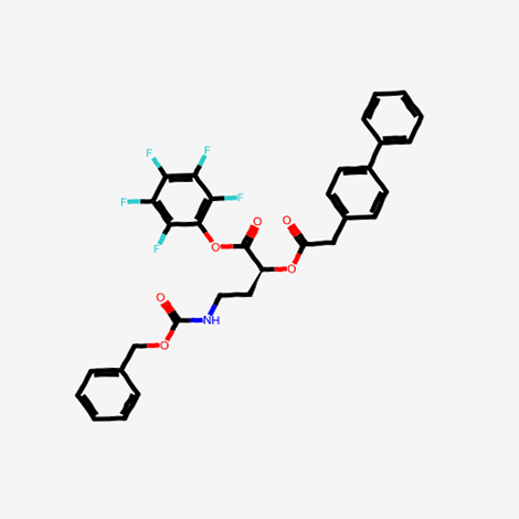 O=C(Cc1ccc(-c2ccccc2)cc1)O[C@@H](CCNC(=O)OCc1ccccc1)C(=O)Oc1c(F)c(F)c(F)c(F)c1F